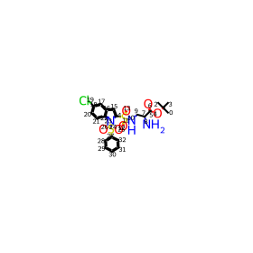 CC(C)(C)OC(=O)C(N)CNS(=O)(=O)c1cc2cc(Cl)ccc2n1S(=O)(=O)c1ccccc1